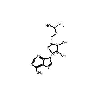 Nc1ncnc2c1ncn2[C@@H]1S[C@H](COP(N)O)[C@@H](O)[C@H]1O